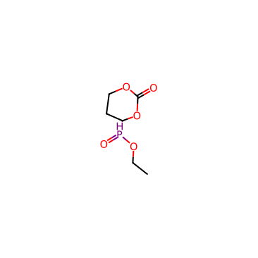 CCO[PH](=O)C1CCOC(=O)O1